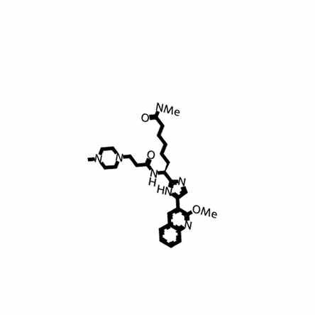 CNC(=O)CCCCC[C@H](NC(=O)CCN1CCN(C)CC1)c1ncc(-c2cc3ccccc3nc2OC)[nH]1